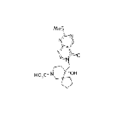 CSc1ncc2c(=O)n(CC3(O)CCN(C(=O)O)CC34CCCC4)cnc2n1